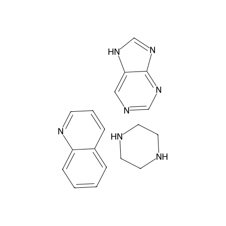 C1CNCCN1.c1ccc2ncccc2c1.c1ncc2[nH]cnc2n1